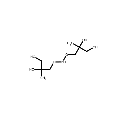 CC(O)(CO)CONOCC(C)(O)CO